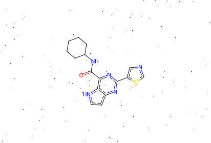 O=C(NC1CCCCC1)c1nc(-c2cncs2)nc2cc[nH]c12